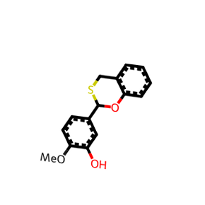 COc1ccc(C2Oc3ccccc3CS2)cc1O